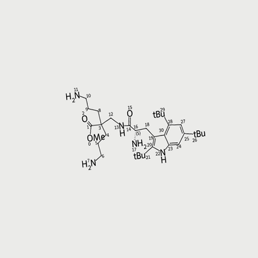 COC(=O)C(CCCN)(CCCN)CNC(=O)[C@@H](N)Cc1c(C(C)(C)C)[nH]c2cc(C(C)(C)C)cc(C(C)(C)C)c12